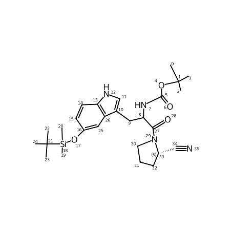 CC(C)(C)OC(=O)NC(Cc1c[nH]c2ccc(O[Si](C)(C)C(C)(C)C)cc12)C(=O)N1CCC[C@H]1C#N